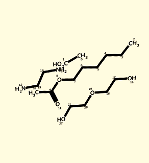 CC(=O)O.CCCCCCOC(C)=O.NCCN.OCCOCCO